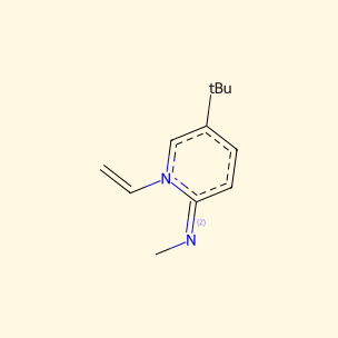 C=Cn1cc(C(C)(C)C)cc/c1=N/C